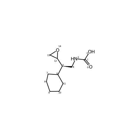 O=C(O)NC[C@@H](C1CCCCC1)C1CO1